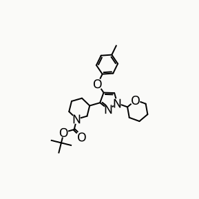 Cc1ccc(Oc2cn(C3CCCCO3)nc2C2CCCN(C(=O)OC(C)(C)C)C2)cc1